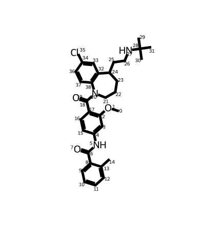 COc1cc(NC(=O)c2ccccc2C)ccc1C(=O)N1CCCC(CCNC(C)(C)C)c2cc(Cl)ccc21